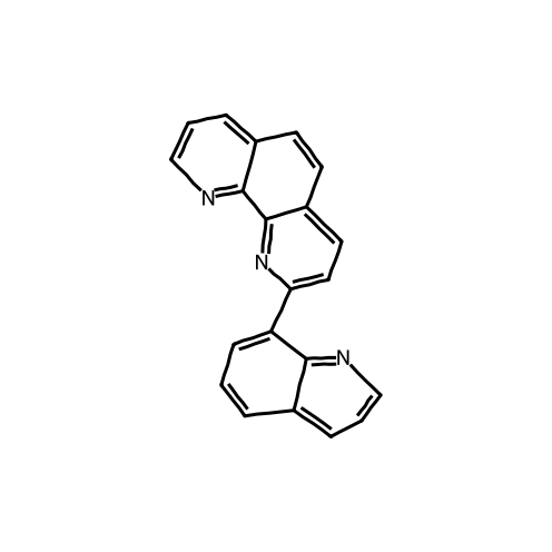 c1cnc2c(-c3ccc4ccc5cccnc5c4n3)cccc2c1